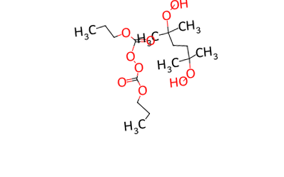 CC(C)(CCC(C)(C)OO)OO.CCCOC(=O)OOC(=O)OCCC